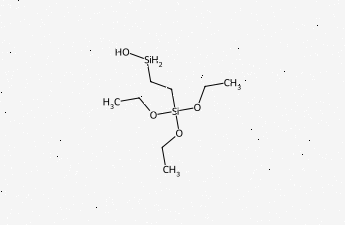 CCO[Si](CC[SiH2]O)(OCC)OCC